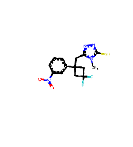 Cn1c(S)nnc1CC1(c2cccc([N+](=O)[O-])c2)CC(F)(F)C1